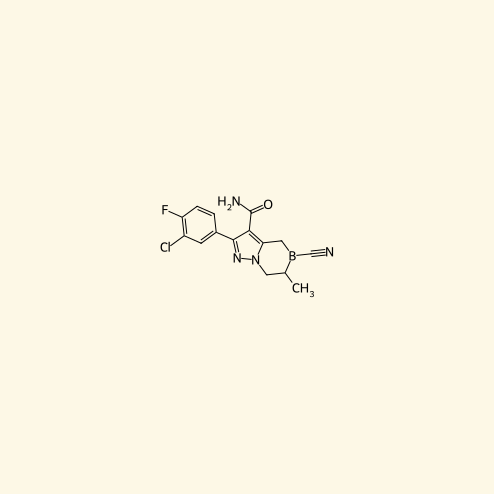 CC1Cn2nc(-c3ccc(F)c(Cl)c3)c(C(N)=O)c2CB1C#N